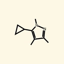 Cc1nn(C)c(C2CC2)c1C